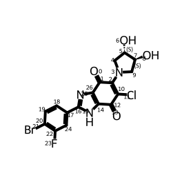 O=C1C(N2C[C@H](O)[C@@H](O)C2)=C(Cl)C(=O)c2[nH]c(-c3ccc(Br)c(F)c3)nc21